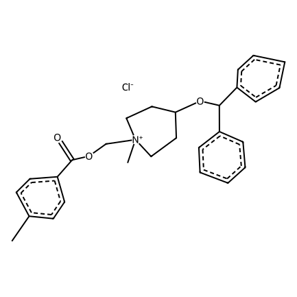 Cc1ccc(C(=O)OC[N+]2(C)CCC(OC(c3ccccc3)c3ccccc3)CC2)cc1.[Cl-]